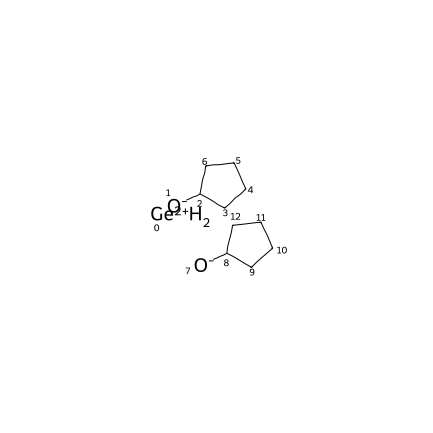 [GeH2+2].[O-]C1CCCC1.[O-]C1CCCC1